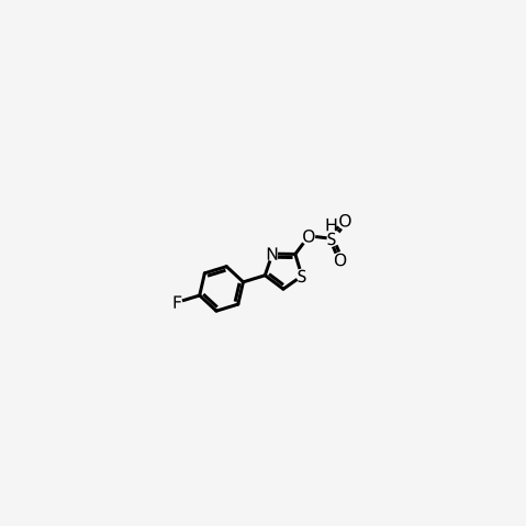 O=[SH](=O)Oc1nc(-c2ccc(F)cc2)cs1